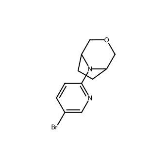 Brc1ccc(N2C3CCC2COC3)nc1